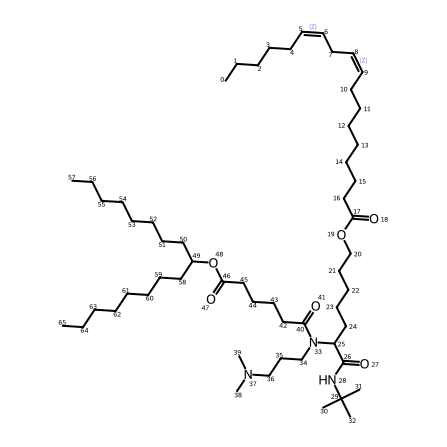 CCCCC/C=C\C/C=C\CCCCCCCC(=O)OCCCCCC(C(=O)NC(C)(C)C)N(CCCN(C)C)C(=O)CCCCC(=O)OC(CCCCCCCC)CCCCCCCC